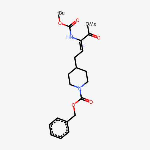 COC(=O)/C(=C/CC1CCN(C(=O)OCc2ccccc2)CC1)NC(=O)OC(C)(C)C